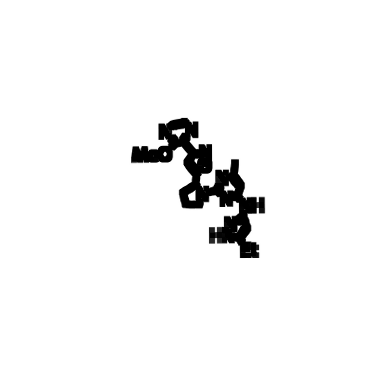 CCc1cc(Nc2cc(C)nc(N3CCCC3c3cc(-c4nccnc4OC)no3)n2)n[nH]1